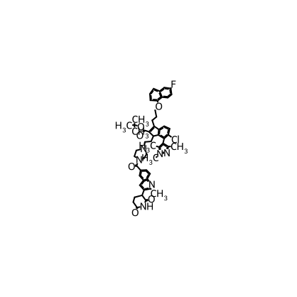 Cc1nc2ccc(C(=O)N3CCN(CCC4C(C(=O)OC(C)(C)C)=C(CCCOc5cccc6cc(F)ccc56)c5ccc(Cl)c(-c6c(C)nn(C)c6C)c54)CC3)cc2cc1C1CCC(=O)NC1=O